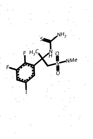 CNS(=O)(=O)CC(C)(NC(N)=S)c1cc(I)cc(F)c1F